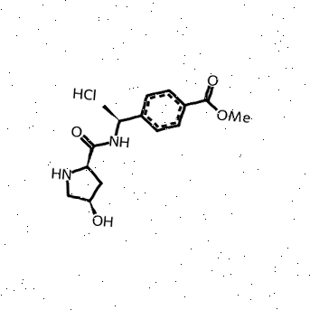 COC(=O)c1ccc([C@H](C)NC(=O)[C@H]2C[C@@H](O)CN2)cc1.Cl